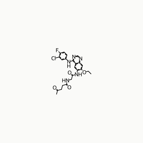 CCOc1cc2ncnc(Nc3ccc(F)c(Cl)c3)c2cc1NC(=O)CNC(=O)CCC(C)=O